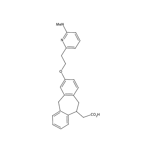 CNc1cccc(CCOc2ccc3c(c2)Cc2ccccc2C(CC(=O)O)C3)n1